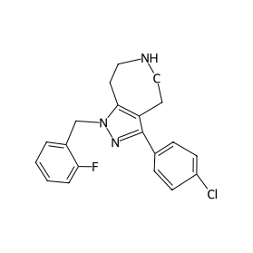 Fc1ccccc1Cn1nc(-c2ccc(Cl)cc2)c2c1CCNCC2